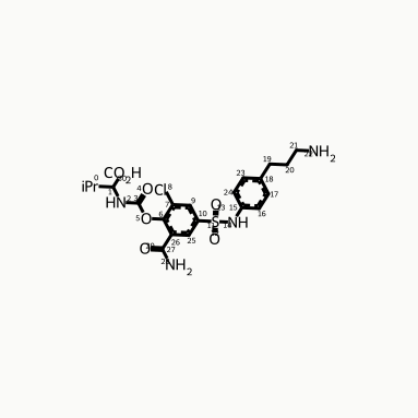 CC(C)C(NC(=O)Oc1c(Cl)cc(S(=O)(=O)Nc2ccc(CCCN)cc2)cc1C(N)=O)C(=O)O